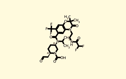 CC(C)N(C(=O)c1cc2c(cc1C(F)(F)F)OC(C)(C)C(=O)N2CCNC(=O)C(F)F)[C@@H]1CC[C@H](CC=O)N(C(=O)O)C1